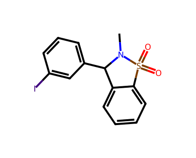 CN1C(c2cccc(I)c2)c2ccccc2S1(=O)=O